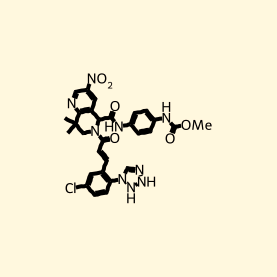 COC(=O)Nc1ccc(NC(=O)C2c3cc([N+](=O)[O-])cnc3C(C)(C)CN2C(=O)/C=C/c2cc(Cl)ccc2N2C=NNN2)cc1